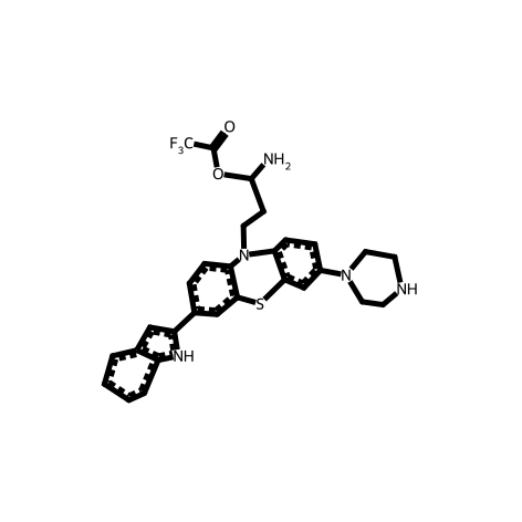 NC(CCN1c2ccc(-c3cc4ccccc4[nH]3)cc2Sc2cc(N3CCNCC3)ccc21)OC(=O)C(F)(F)F